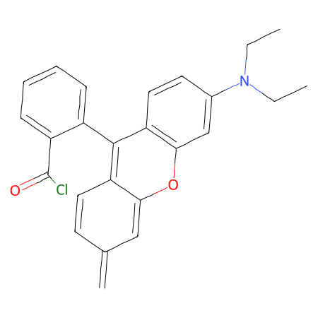 C=c1ccc2c(c1)Oc1cc(N(CC)CC)ccc1C=2c1ccccc1C(=O)Cl